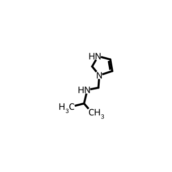 CC(C)NCN1C=CNC1